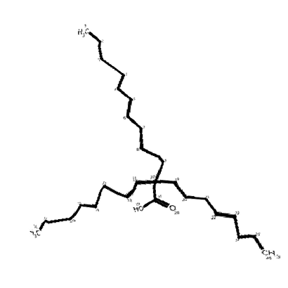 CCCCCCCCCCC(CCCCCCCC)(CCCCCCCC)C(=O)O